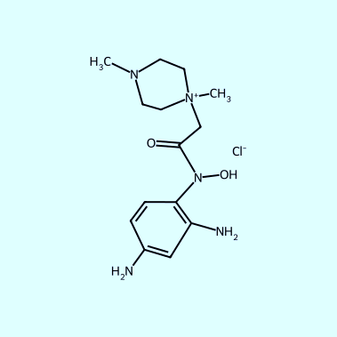 CN1CC[N+](C)(CC(=O)N(O)c2ccc(N)cc2N)CC1.[Cl-]